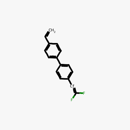 C=Cc1ccc(-c2cc[c]([Cf]=[C](F)F)cc2)cc1